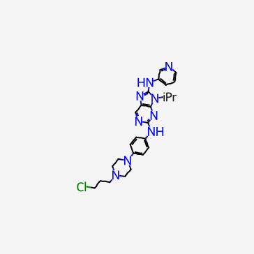 CC(C)n1c(Nc2cccnc2)nc2cnc(Nc3ccc(N4CCN(CCCCl)CC4)cc3)nc21